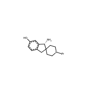 CC(C)N1CCC2(CC1)Cc1ccc(O)cc1[C@@H]2N